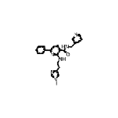 O=C(NCc1cccnc1)c1ccc(-c2ccccc2)nc1NCCc1c[nH]cn1